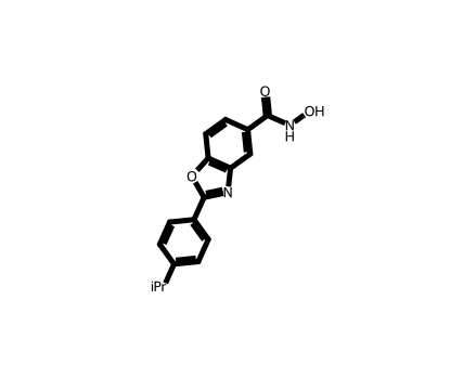 CC(C)c1ccc(-c2nc3cc(C(=O)NO)ccc3o2)cc1